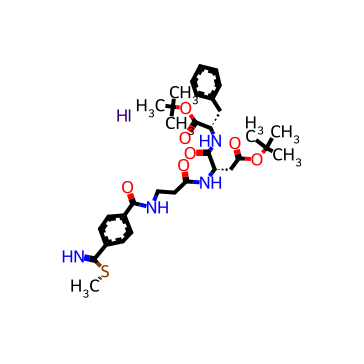 CSC(=N)c1ccc(C(=O)NCCC(=O)N[C@@H](CC(=O)OC(C)(C)C)C(=O)N[C@@H](Cc2ccccc2)C(=O)OC(C)(C)C)cc1.I